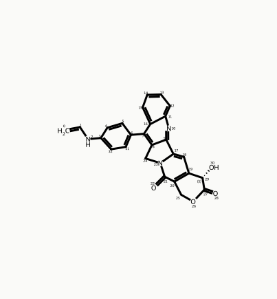 C=CNc1ccc(-c2c3c(nc4ccccc24)-c2cc4c(c(=O)n2C3)COC(=O)[C@H]4O)cc1